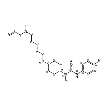 C=CCN(C)CCCCCOC1CCC(N(C)C(=O)Nc2ccc(C)cc2)CC1